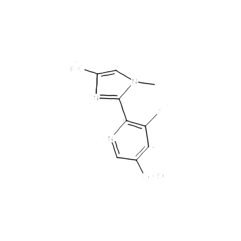 CCOC(=O)c1cnc(-c2nc(C(F)(F)F)cn2C)c(F)c1